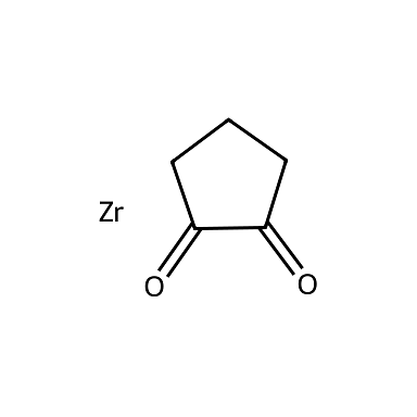 O=C1CCCC1=O.[Zr]